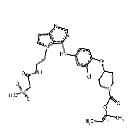 C/C=C(/C)OC(=O)N1CCC(Oc2ccc(Nc3ncnc4ccn(CCNC(=O)CS(C)(=O)=O)c34)cc2Cl)CC1